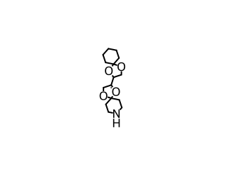 C1CCC2(CC1)OCC([C]1COC3(CCNCC3)O1)O2